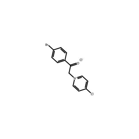 O=C(C[n+]1ccc(Cl)cc1)c1ccc(Br)cc1.[Cl-]